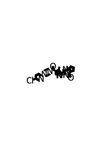 Cc1c(C(=O)N2CCN(c3ccc(Cl)cn3)CC2)cnn1-c1nn2cccc2c(=O)[nH]1